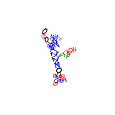 Nc1ncnc2c1c(-c1ccc(Oc3ccccc3)cc1)nn2C1CCN(C2CCN(C3CN(c4ccc5c(c4)C(=O)N(C4CCC(=O)NC4=O)C5=O)C3)CC2F)CC1.O=C(O)C(F)(F)F